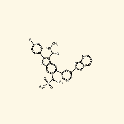 CNC(=O)c1c(-c2ccc(F)cc2)oc2cc(N(C)S(C)(=O)=O)c(-c3cncc(-c4cn5cccnc5n4)c3)cc12